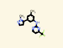 Cc1cc(Nc2nccc(C(F)(F)F)n2)cc(-c2ccnn2C)c1